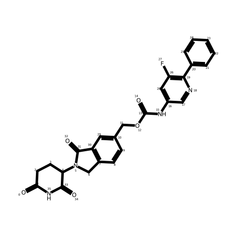 O=C1CCC(N2Cc3ccc(COC(=O)Nc4cnc(-c5ccccc5)c(F)c4)cc3C2=O)C(=O)N1